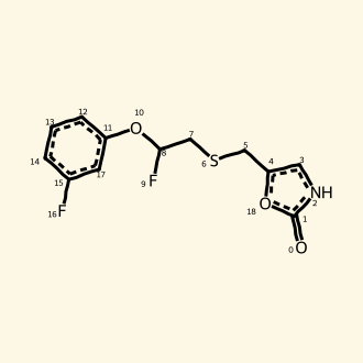 O=c1[nH]cc(CSCC(F)Oc2cccc(F)c2)o1